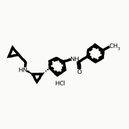 Cc1ccc(C(=O)Nc2ccc([C@@H]3C[C@H]3NCC3CC3)cc2)cc1.Cl